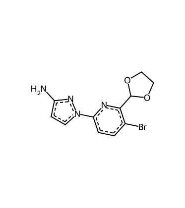 Nc1ccn(-c2ccc(Br)c(C3OCCO3)n2)n1